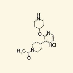 CC(=O)N1CCC(c2cccnc2OC2CCNCC2)CC1.Cl